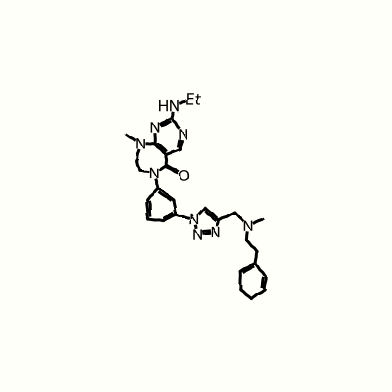 CCNc1ncc2c(n1)N(C)CCN(c1cccc(-n3cc(CN(C)CCC4=CCCC=C4)nn3)c1)C2=O